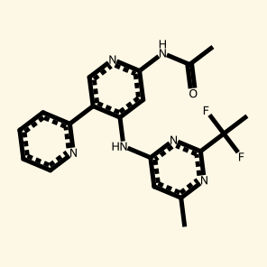 CC(=O)Nc1cc(Nc2cc(C)nc(C(C)(F)F)n2)c(-c2ccccn2)cn1